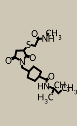 CCC(C)(C)NC(=O)C1CCC(CN2C(=O)CC(SCC(=O)NC)C2=O)CC1